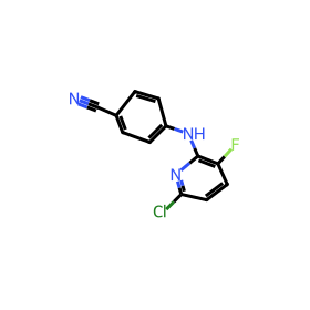 N#Cc1ccc(Nc2nc(Cl)ccc2F)cc1